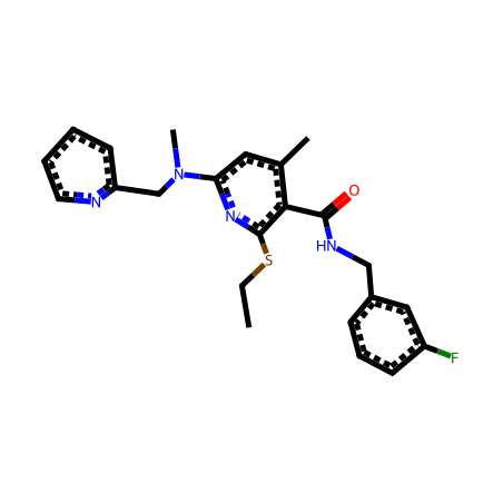 CCSc1nc(N(C)Cc2ccccn2)cc(C)c1C(=O)NCc1cccc(F)c1